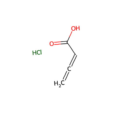 C=C=CC(=O)O.Cl